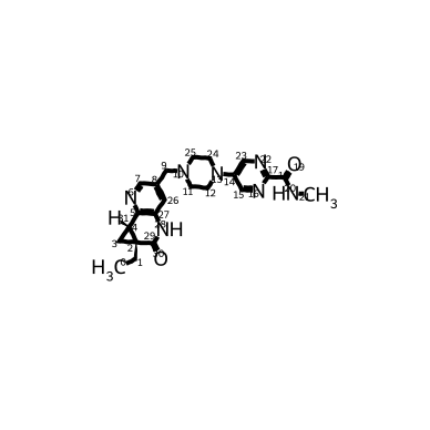 CC[C@@]12C[C@@H]1c1ncc(CN3CCN(c4cnc(C(=O)NC)nc4)CC3)cc1NC2=O